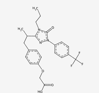 CCCn1c(C(C)Cc2ccc(OCC(=O)O)cc2)nn(-c2ccc(C(F)(F)F)cc2)c1=O